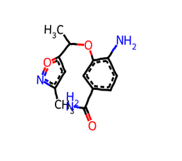 Cc1cc(C(C)Oc2cc(C(N)=O)ccc2N)on1